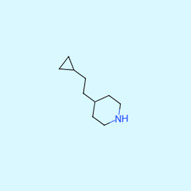 C1CC(CCC2CC2)CCN1